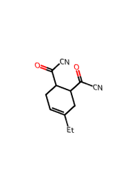 CCC1=CCC(C(=O)C#N)C(C(=O)C#N)C1